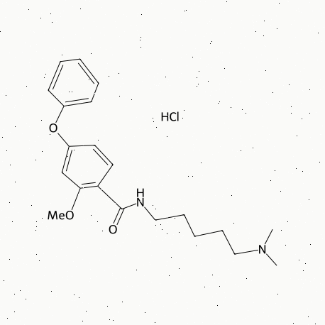 COc1cc(Oc2ccccc2)ccc1C(=O)NCCCCCN(C)C.Cl